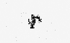 CCOC(=O)N1CCN(C(=O)[C@H](CCC(=O)O)NC(=O)c2cc(OCC(=O)N3CCC(C(=O)O)C3)c3ccc(C)cc3n2)CC1